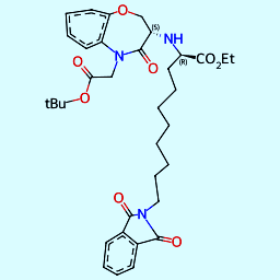 CCOC(=O)[C@@H](CCCCCCCCN1C(=O)c2ccccc2C1=O)N[C@H]1COc2ccccc2N(CC(=O)OC(C)(C)C)C1=O